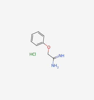 Cl.N=C(N)COc1ccccc1